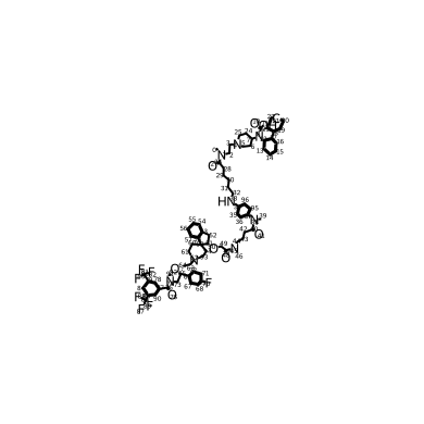 CN(CCN1CCC(N(C(=O)O)c2ccccc2-c2ccccc2)CC1)C(=O)CCCCCNc1ccc(N(C)C(=O)CCCN(C)C(=O)CO[C@H]2Cc3ccccc3C23CCN(CC[C@]2(c4ccc(F)cc4)CN(C(=O)c4cc(C(F)(F)F)cc(C(F)(F)F)c4)CO2)CC3)cc1